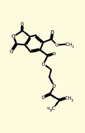 C=C(C)C(=O)OCCOC(=O)c1cc2c(cc1C(=O)OC)C(=O)OC2=O